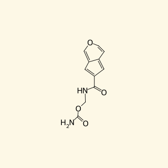 NC(=O)OCNC(=O)c1cc2ccocc-2c1